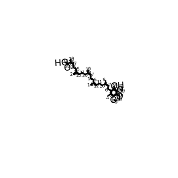 COc1c(C)c(CC=C(C)CCC=C(C)CCC=C(C)CCC=C(C)CCC=C(C)C(=O)O)c(O)c(OC)c1OC